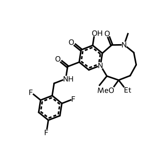 CCC1(OC)CCCN(C)C(=O)c2c(O)c(=O)c(C(=O)NCc3c(F)cc(F)cc3F)cn2C1C